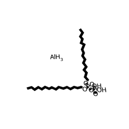 CCCCCCCCCCCCCCCCOP(=O)(OCCCCCCCCCCCCCCCC)OP(=O)(O)O.[AlH3]